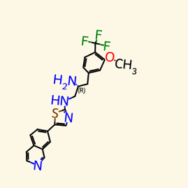 COc1cc(C[C@@H](N)CNc2ncc(-c3ccc4ccncc4c3)s2)ccc1C(F)(F)F